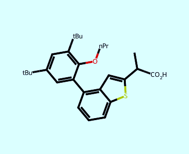 CCCOc1c(-c2cccc3sc(C(C)C(=O)O)cc23)cc(C(C)(C)C)cc1C(C)(C)C